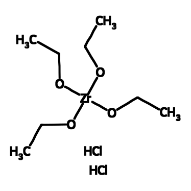 CC[O][Zr]([O]CC)([O]CC)[O]CC.Cl.Cl